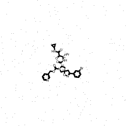 CCC[C@H](NC(=O)[C@@H]1C[C@]2(CC(c3cccc(Br)c3)=NO2)CN1C(=O)OCc1cccnc1)C(=O)C(=O)NC1CC1